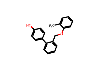 Oc1ccc(-c2ccccc2COc2ccccc2C(F)(F)F)cc1